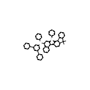 CC1(C)c2ccccc2-c2c1ccc1c3c4ccccc4c(N(c4ccccc4)c4cc(-c5ccccc5)cc(-c5ccccc5)c4)cc3n(-c3ccccc3)c21